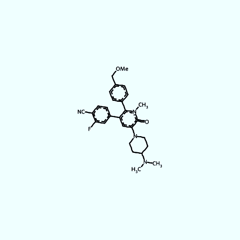 COCc1ccc(-c2c(-c3ccc(C#N)c(F)c3)cc(N3CCC(N(C)C)CC3)c(=O)n2C)cc1